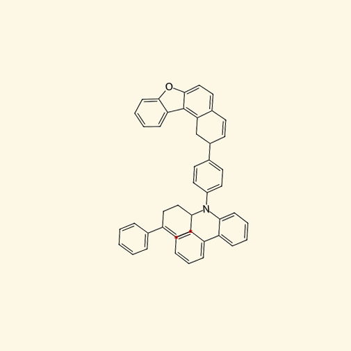 C1=CC(c2ccc(N(c3ccccc3-c3ccccc3)C3CC=C(c4ccccc4)CC3)cc2)Cc2c1ccc1oc3ccccc3c21